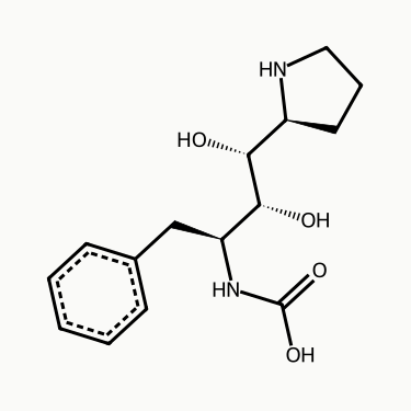 O=C(O)N[C@@H](Cc1ccccc1)[C@@H](O)[C@H](O)[C@@H]1CCCN1